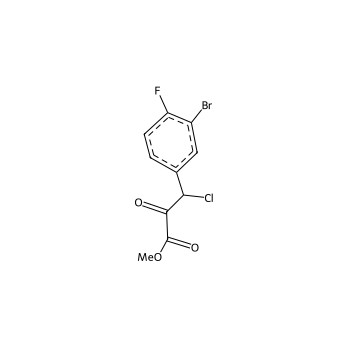 COC(=O)C(=O)C(Cl)c1ccc(F)c(Br)c1